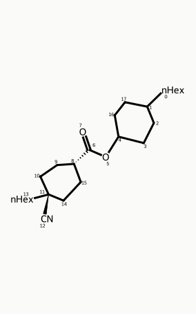 CCCCCCC1CCC(OC(=O)[C@H]2CC[C@@](C#N)(CCCCCC)CC2)CC1